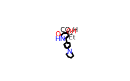 CCc1c(-c2ccc(N3CCCCC3)cc2)[nH]c(=O)c(C(=O)O)c1O